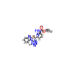 Cn1nnnc1-n1c(SCc2cccc(NC(=O)OC(C)(C)C)n2)nc2ccccc21